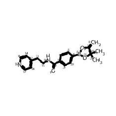 C=C1OB(c2ccc(C(=O)NCCc3ccncc3)cc2)OC1(C)C